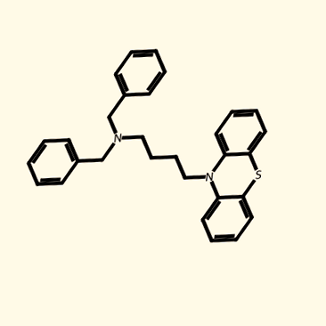 c1ccc(CN(CCCCN2c3ccccc3Sc3ccccc32)Cc2ccccc2)cc1